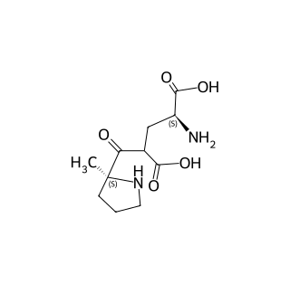 C[C@@]1(C(=O)C(C[C@H](N)C(=O)O)C(=O)O)CCCN1